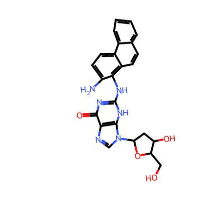 Nc1ccc2c(ccc3ccccc32)c1Nc1nc(=O)c2ncn(C3CC(O)C(CO)O3)c2[nH]1